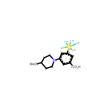 COC1CCN(c2cc(C(=O)O)cc(S(F)(F)(F)(F)F)c2)CC1